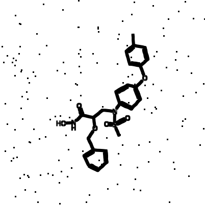 Cc1ccc(Oc2ccc(N(CC(OCc3ccccc3)C(=O)NO)S(C)(=O)=O)cc2)cc1